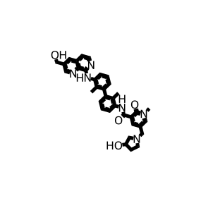 Cc1c(NC(=O)c2cc(CN3CCC(O)C3)cn(C)c2=O)cccc1-c1cccc(Nc2nccc3cc(CO)cnc23)c1C